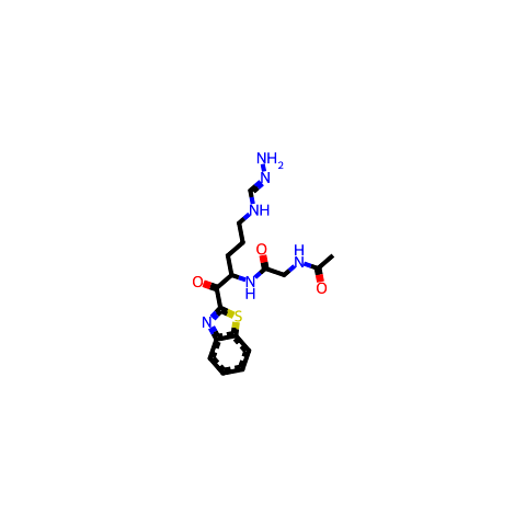 CC(=O)NCC(=O)NC(CCCNC=NN)C(=O)c1nc2ccccc2s1